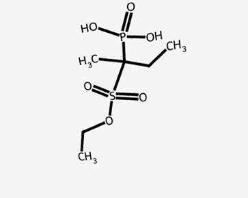 CCOS(=O)(=O)C(C)(CC)P(=O)(O)O